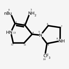 CCCCC1=C(N)C(N2CCNC2C(F)(F)F)CCN1